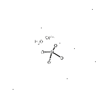 O.[Co+4].[O-][Si]([O-])([O-])[O-]